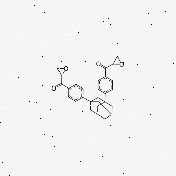 O=C(c1ccc(C23CC4CC(C2)CC(c2ccc(C(=O)C5CO5)cc2)(C4)C3)cc1)C1CO1